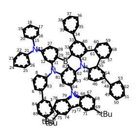 CC(C)(C)c1ccc(-c2cccc(N3c4cc(N(c5ccccc5)c5ccccc5)ccc4B4c5cc(-c6ccccc6)cc6c5N(c5ccc(-c7ccccc7)cc5-c5ccccc5-6)c5cc(-n6c7ccc(C(C)(C)C)cc7c7cc(C(C)(C)C)ccc76)cc3c54)c2)cc1